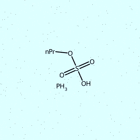 CCCOS(=O)(=O)O.P